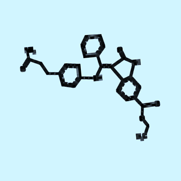 CCOC(=O)c1ccc2c(c1)NC(=O)C2=C(Nc1ccc(CCC(N)=O)cc1)c1ccccc1